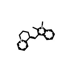 Cc1c(/C=C2\CCC[n+]3ccccc32)c2ccccc2n1C